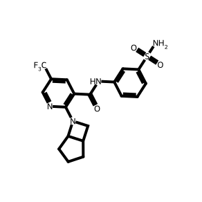 NS(=O)(=O)c1cccc(NC(=O)c2cc(C(F)(F)F)cnc2N2CC3CCCC32)c1